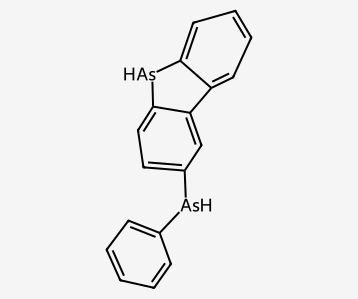 c1ccc([AsH]c2ccc3c(c2)-c2ccccc2[AsH]3)cc1